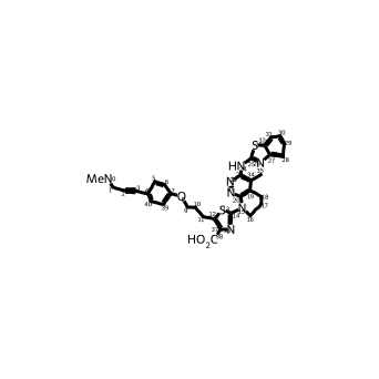 CNCC#Cc1ccc(OCCCc2sc(N3CCCc4c3nnc(Nc3nc5ccccc5s3)c4C)nc2C(=O)O)cc1